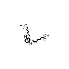 C=CCCSC[C@H]1[C@@H](C/C=C\CCCC(=O)O)[C@H]2CC[C@@H]1O2